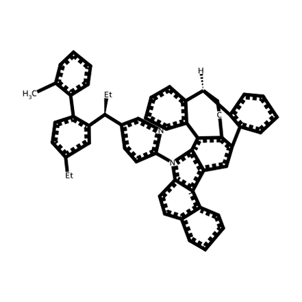 CCc1ccc(-c2ccccc2C)c([C@@H](CC)c2ccc(-n3c4ccc5ccccc5c4c4cc5c6c(c43)-c3ccccc3[C@H](CC6)c3ccccc3-5)nc2)c1